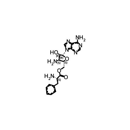 Nc1ncnc2c1ncn2[C@@H]1O[C@H](COC(=O)[C@@H](N)Cc2ccccc2)[C@@H](N)[C@H]1O